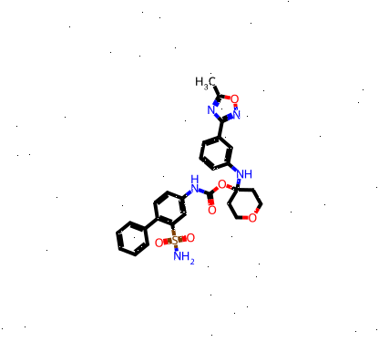 Cc1nc(-c2cccc(NC3(OC(=O)Nc4ccc(-c5ccccc5)c(S(N)(=O)=O)c4)CCOCC3)c2)no1